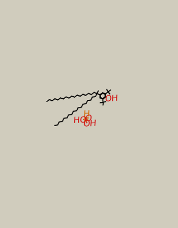 CCCCCCCCCCCCCCCCCCC(C)(CCCCCCCCCCCCCCCCCC)c1cc(C(C)(C)C)c(O)c(C(C)(C)C)c1.O=[PH](O)O